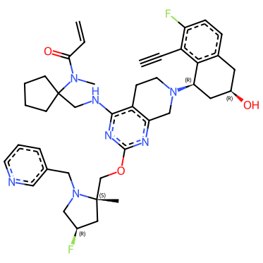 C#Cc1c(F)ccc2c1[C@H](N1CCc3c(nc(OC[C@]4(C)C[C@@H](F)CN4Cc4cccnc4)nc3NCC3(N(C)C(=O)C=C)CCCC3)C1)C[C@H](O)C2